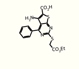 CCOC(=O)CSc1nc(-c2ccccc2)c2c(N)c(C(=O)O)sc2n1